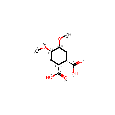 CO[C@H]1C[C@H](C(=O)O)[C@H](C(=O)O)C[C@H]1OC